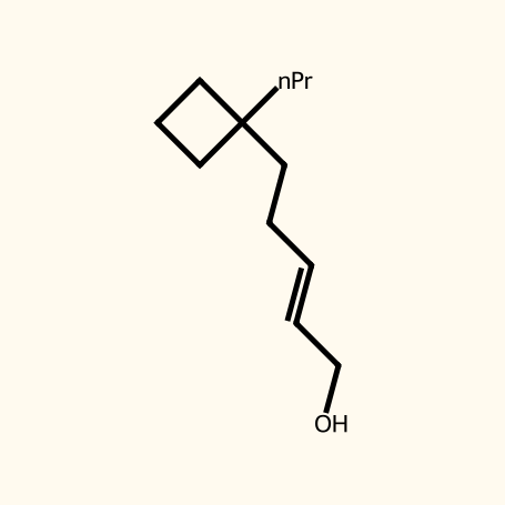 CCCC1(CC/C=C/CO)CCC1